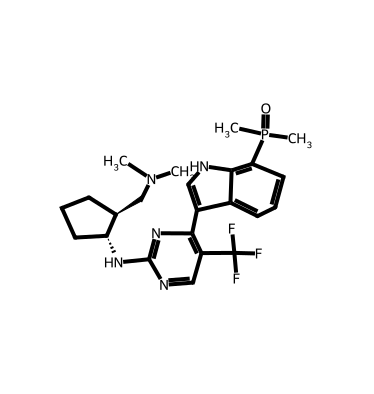 CN(C)C[C@@H]1CCC[C@H]1Nc1ncc(C(F)(F)F)c(-c2c[nH]c3c(P(C)(C)=O)cccc23)n1